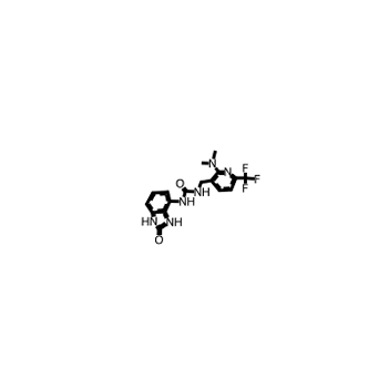 CN(C)c1nc(C(F)(F)F)ccc1CNC(=O)Nc1cccc2[nH]c(=O)[nH]c12